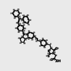 O=C(O)CN1C(=O)C(Cc2ccc(C=Cc3ccc4c(c3)C3CCCC3N4c3ccc(C=C(c4ccccc4)c4ccccc4)cc3)cc2)SC1=S